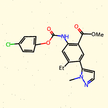 CCc1cc(NC(=O)Oc2ccc(Cl)cc2)c(C(=O)OC)cc1-c1ccnn1C